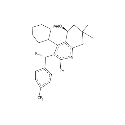 CO[C@H]1CC(C)(C)Cc2nc(C(C)C)c([C@@H](F)c3ccc(C(F)(F)F)cc3)c(C3CCCCC3)c21